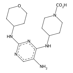 Nc1cnc(NC2CCOCC2)nc1NC1CCN(C(=O)O)CC1